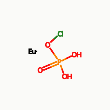 O=P(O)(O)OCl.[Eu]